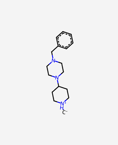 [CH2-][NH+]1CCC(N2CCN(Cc3ccccc3)CC2)CC1